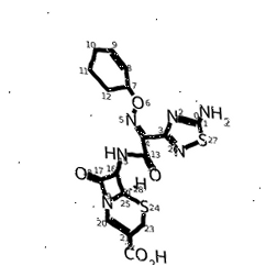 Nc1nc(C(=NOC2C=CCCC2)C(=O)NC2C(=O)N3C=C(C(=O)O)CS[C@H]23)ns1